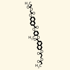 C=CC(=O)OCCC(=O)Oc1ccc2cc(C(=O)Oc3ccc(OC(=O)c4ccc5cc(OC(=O)COC(=O)C=C)ccc5c4)cc3C)ccc2c1